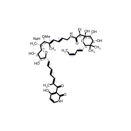 C/C=C\C=C\[C@@H]1O[C@](O)([C@H](CC)C(=O)NC/C=C/C=C(\C)[C@@H](OC)[C@@H](C)[C@@H]2O[C@H](/C=C/C=C/C=C(\C)C(=O)c3c(O)cc[nH]c3=O)[C@H](O)[C@@H]2O)[C@H](O)[C@H](O)C1(C)C.[NaH]